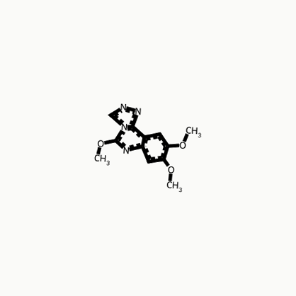 COc1cc2nc(OC)n3cnnc3c2cc1OC